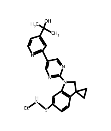 CCNSc1ccc2c(c1)N(c1ncc(-c3cc(C(C)(C)O)ccn3)cn1)CC21CC1